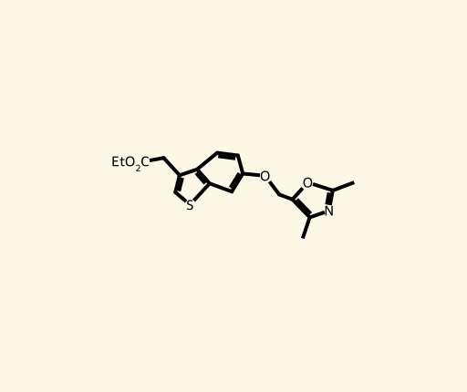 CCOC(=O)Cc1csc2cc(OCc3oc(C)nc3C)ccc12